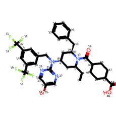 CCC1C[C@@H](N(Cc2cc(C(F)(F)F)cc(C(F)(F)F)c2)c2ncc(Br)cn2)C[C@@H](Cc2ccccc2)N1C(=O)C1CCC(C(=O)O)CC1